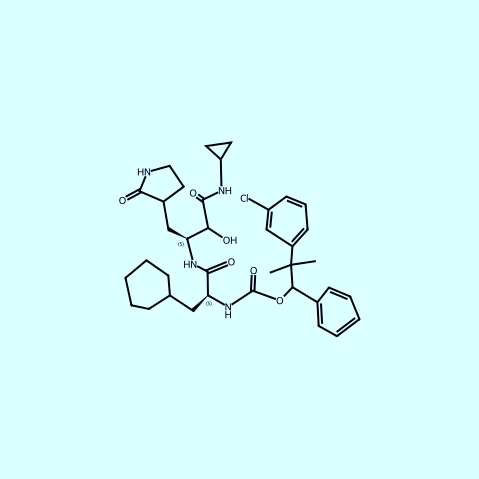 CC(C)(c1cccc(Cl)c1)C(OC(=O)N[C@@H](CC1CCCCC1)C(=O)N[C@@H](CC1CCNC1=O)C(O)C(=O)NC1CC1)c1ccccc1